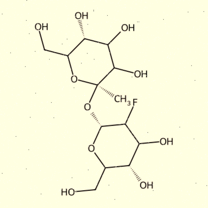 C[C@]1(O[C@H]2OC(CO)[C@@H](O)C(O)C2F)OC(CO)[C@H](O)C(O)C1O